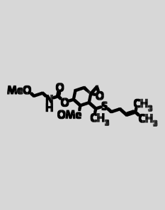 COCCNC(=O)OC1CC[C@]2(CO2)C(C(C)SCCC=C(C)C)C1OC